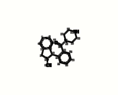 N#CN1Cc2ccccc2C1c1ccccc1C(=O)N1CCNCC1